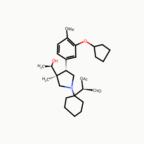 COc1ccc([C@@H]2CN(C3([C@H](C=O)OC(C)=O)CCCCC3)C[C@@]2(C)[C@@H](C)O)cc1OC1CCCC1